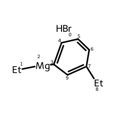 Br.C[CH2][Mg][c]1cccc(CC)c1